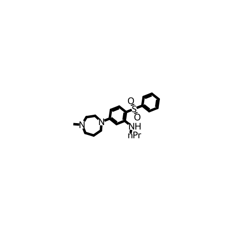 CCCNc1cc(N2CCCN(C)CC2)ccc1S(=O)(=O)c1ccccc1